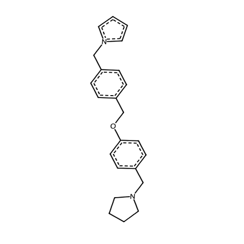 c1ccn(Cc2ccc(COc3ccc(CN4CCCC4)cc3)cc2)c1